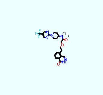 CN(C(=O)COCCc1cccc2c(=O)[nH]ncc12)C1CCN(c2ncc(C(F)(F)F)cn2)CC1